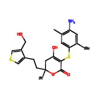 Cc1cc(SC2=C(O)CC(CCc3cscc3CO)(C(C)C)OC2=O)c(C(C)(C)C)cc1N